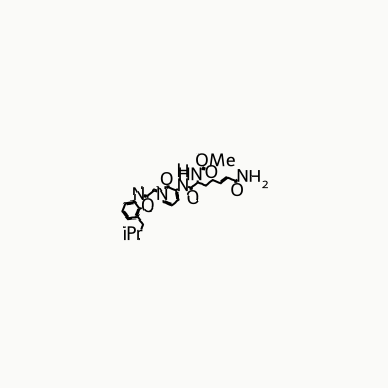 COC(=O)NC(CC/C=C/C(N)=O)C(=O)Nc1cccn(Cc2nc3cccc(CC(C)C)c3o2)c1=O